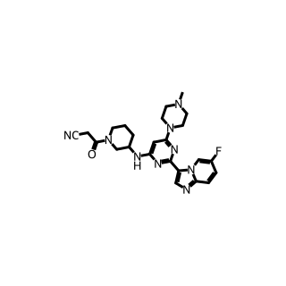 CN1CCN(c2cc(NC3CCCN(C(=O)CC#N)C3)nc(-c3cnc4ccc(F)cn34)n2)CC1